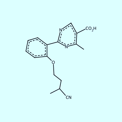 Cc1nc(-c2ccccc2OCCC(C)C#N)ncc1C(=O)O